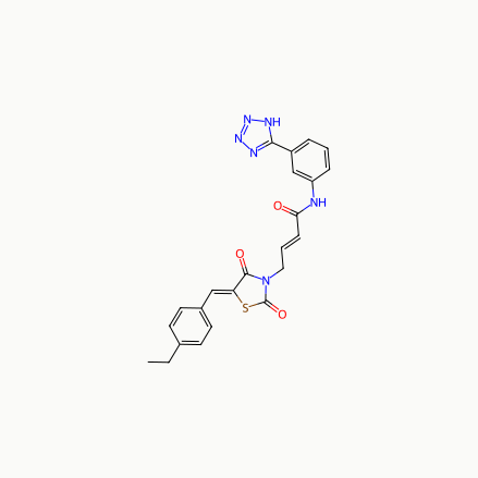 CCc1ccc(/C=C2\SC(=O)N(C/C=C/C(=O)Nc3cccc(-c4nnn[nH]4)c3)C2=O)cc1